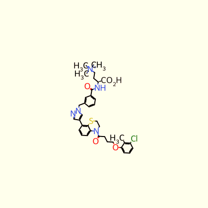 Cc1c(Cl)cccc1OCCCC(=O)N1CCSc2c(-c3cnn(Cc4cccc(C(=O)N[C@@H](CC[N+](C)(C)C)C(=O)O)c4)c3)cccc21